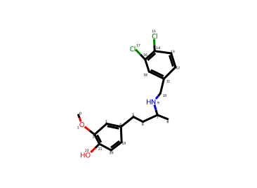 COc1cc(CCC(C)NCc2ccc(Cl)c(Cl)c2)ccc1O